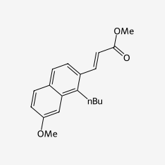 CCCCc1c(/C=C/C(=O)OC)ccc2ccc(OC)cc12